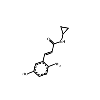 Nc1ccc(O)cc1C=CC(=O)NC1CC1